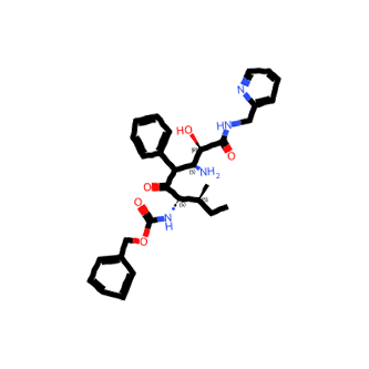 CC[C@H](C)[C@H](NC(=O)OCc1ccccc1)C(=O)C(c1ccccc1)[C@H](N)[C@@H](O)C(=O)NCc1ccccn1